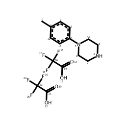 Cc1ccc(N2CCNCC2)cc1.O=C(O)C(F)(F)F.O=C(O)C(F)(F)F